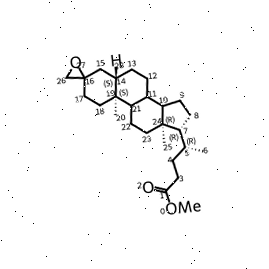 COC(=O)CC[C@@H](C)[C@H]1CCC2C3CC[C@H]4CC5(CC[C@]4(C)C3CC[C@@]21C)CO5